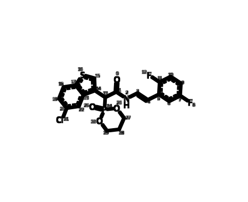 O=C(NC=Cc1cc(F)ccc1F)C(c1csc2ccc(Cl)cc12)P1(=O)OCCCO1